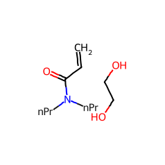 C=CC(=O)N(CCC)CCC.OCCO